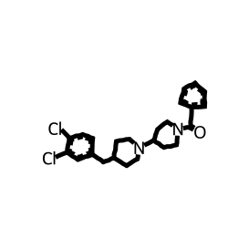 O=C(c1ccccc1)N1CCC(N2CCC(Cc3ccc(Cl)c(Cl)c3)CC2)CC1